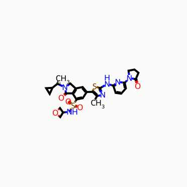 Cc1nc(Nc2cccc(N3CCCC3=O)n2)sc1-c1cc2c(c(S(=O)(=O)NC3COC3)c1)C(=O)N([C@@H](C)C1CC1)C2